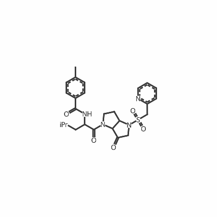 Cc1ccc(C(=O)NC(CC(C)C)C(=O)N2CCC3C2C(=O)CN3S(=O)(=O)Cc2ccccn2)cc1